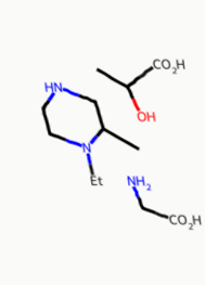 CC(O)C(=O)O.CCN1CCNCC1C.NCC(=O)O